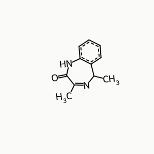 CC1=NC(C)c2ccccc2NC1=O